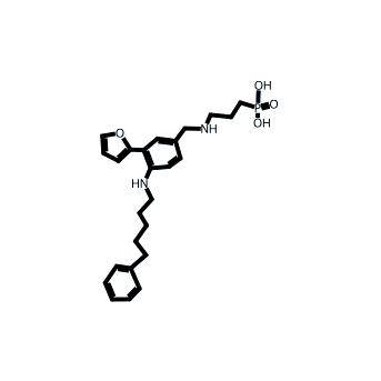 O=P(O)(O)CCCNCc1ccc(NCCCCCc2ccccc2)c(-c2ccco2)c1